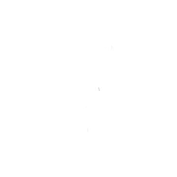 C=CC(O)CPCC(O)C=C